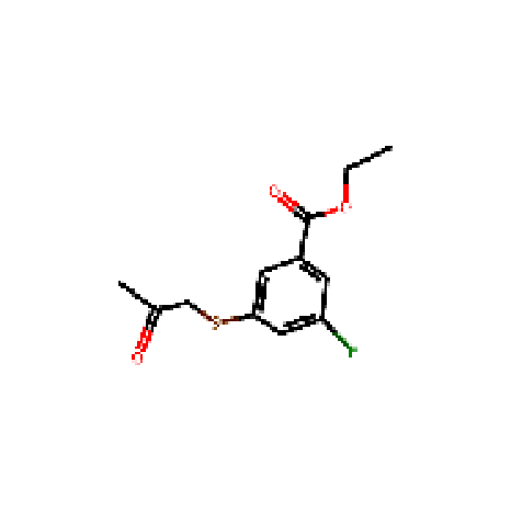 CCOC(=O)c1cc(F)cc(SCC(C)=O)c1